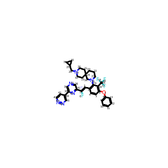 F/C(=C\c1ccc(Oc2ccccc2)c(C(F)(F)F)c1N1CCCC2(CCN(CC3CC3)CC2)C1)c1cncc(-c2ccnnc2)n1